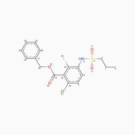 CCCS(=O)(=O)Nc1ccc(Cl)c(C(=O)OCc2ccccc2)c1F